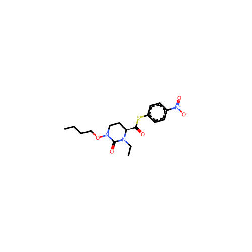 CCCCON1CC[C@@H](C(=O)Sc2ccc([N+](=O)[O-])cc2)N(CC)C1=O